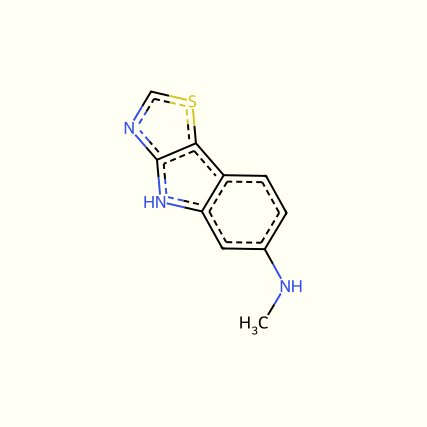 CNc1ccc2c(c1)[nH]c1ncsc12